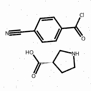 N#Cc1ccc(C(=O)Cl)cc1.O=C(O)[C@H]1CCNC1